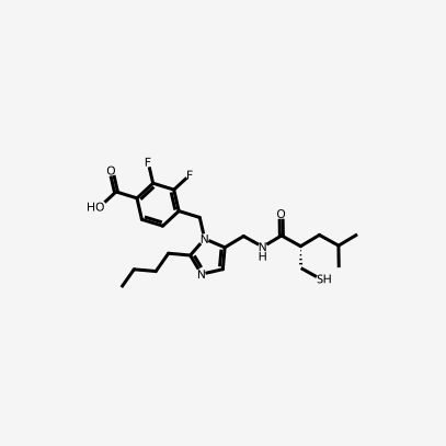 CCCCc1ncc(CNC(=O)[C@@H](CS)CC(C)C)n1Cc1ccc(C(=O)O)c(F)c1F